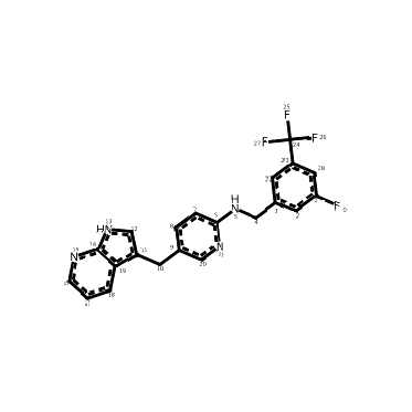 Fc1cc(CNc2ccc(Cc3c[nH]c4ncccc34)cn2)cc(C(F)(F)F)c1